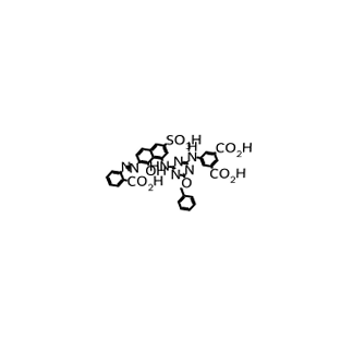 O=C(O)c1cc(Nc2nc(Nc3cc(S(=O)(=O)O)cc4ccc(N=Nc5ccccc5C(=O)O)c(O)c34)nc(OCc3ccccc3)n2)cc(C(=O)O)c1